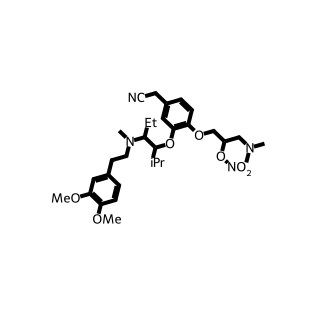 CCC(C(Oc1cc(CC#N)ccc1OCC(CN(C)C)O[N+](=O)[O-])C(C)C)N(C)CCc1ccc(OC)c(OC)c1